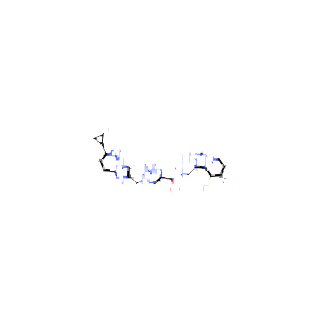 O=C(NCc1ncn2ccc(Cl)c(F)c12)c1cn(Cc2cn3nc(C4CC4)ccc3n2)nn1